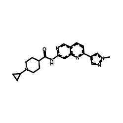 Cn1cc(-c2ccc3cnc(NC(=O)C4CCN(C5CC5)CC4)cc3n2)cn1